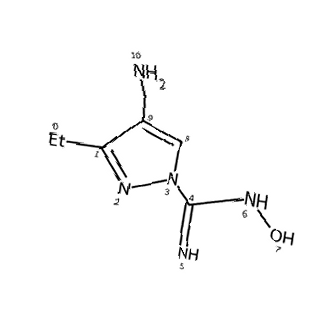 CCc1nn(C(=N)NO)cc1N